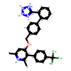 Cc1cc(OCc2ccc(-c3ccccc3-c3nnn[nH]3)cc2)c(-c2ccc(C(F)(F)F)cc2)c(C)n1